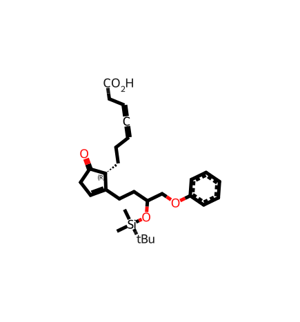 CC(C)(C)[Si](C)(C)OC(CCC1=CCC(=O)[C@@H]1CCC=C=CCC(=O)O)COc1ccccc1